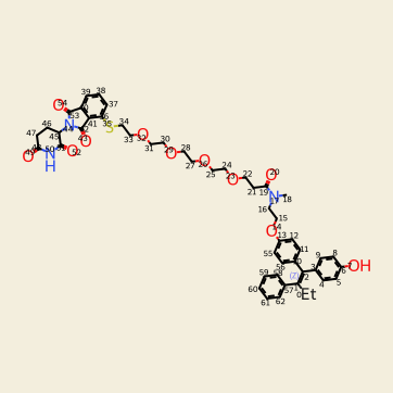 CC/C(=C(\c1ccc(O)cc1)c1ccc(OCCN(C)C(=O)CCOCCOCCOCCOCCSc2cccc3c2C(=O)N(C2CCC(=O)NC2=O)C3=O)cc1)c1ccccc1